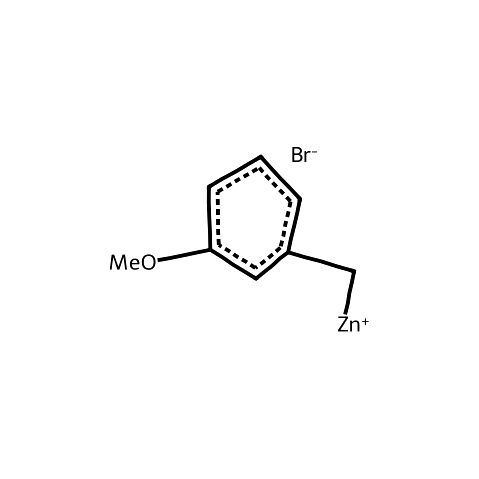 COc1cccc([CH2][Zn+])c1.[Br-]